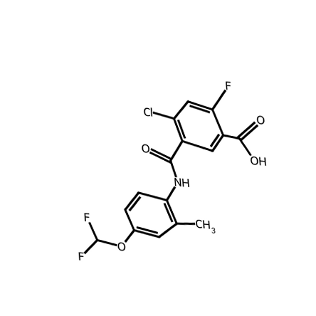 Cc1cc(OC(F)F)ccc1NC(=O)c1cc(C(=O)O)c(F)cc1Cl